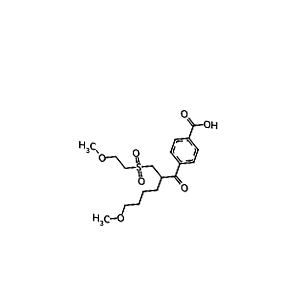 COCCCCC(CS(=O)(=O)CCOC)C(=O)c1ccc(C(=O)O)cc1